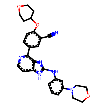 N#Cc1cc(-c2nccc3[nH]c(Nc4cccc(N5CCOCC5)c4)nc23)ccc1OC1CCOCC1